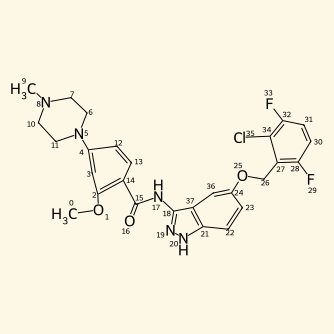 COc1cc(N2CCN(C)CC2)ccc1C(=O)Nc1n[nH]c2ccc(OCc3c(F)ccc(F)c3Cl)cc12